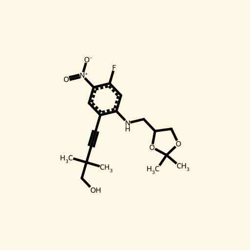 CC(C)(C#Cc1cc([N+](=O)[O-])c(F)cc1NCC1COC(C)(C)O1)CO